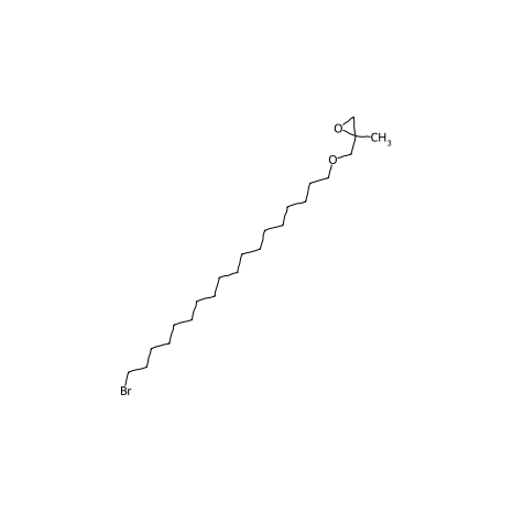 CC1(COCCCCCCCCCCCCCCCCCCBr)CO1